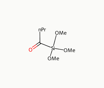 CCCC(=O)[Si](OC)(OC)OC